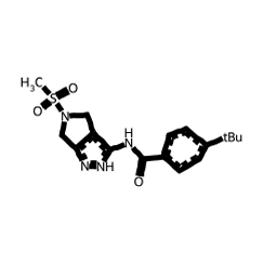 CC(C)(C)c1ccc(C(=O)Nc2[nH]nc3c2CN(S(C)(=O)=O)C3)cc1